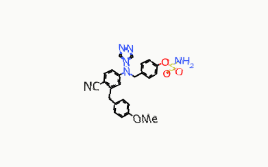 COc1ccc(Cc2cc(N(Cc3ccc(OS(N)(=O)=O)cc3)n3cnnc3)ccc2C#N)cc1